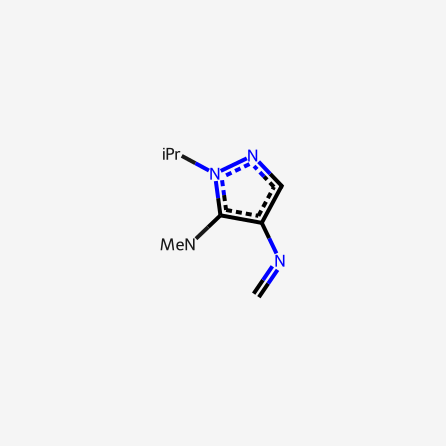 C=Nc1cnn(C(C)C)c1NC